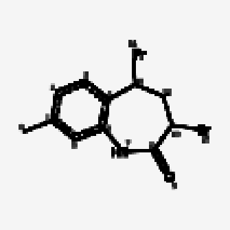 Cc1ccc2c(c1)NC(=O)C(Br)CC2C(C)C